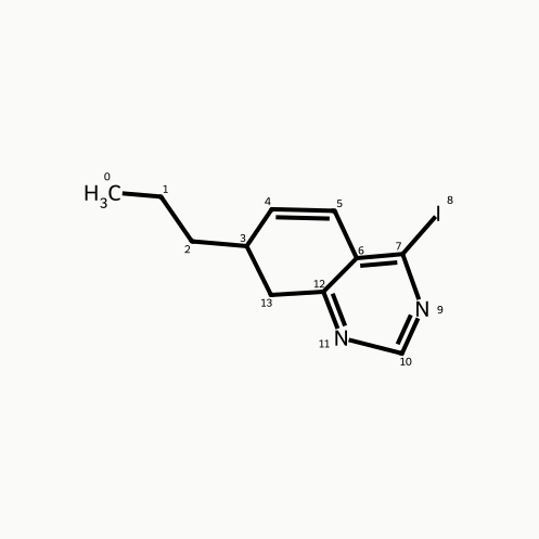 CCCC1C=Cc2c(I)ncnc2C1